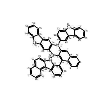 c1ccc2c3c4c(cc2c1)N(c1ccc2oc5ccccc5c2c1)c1cc2c(cc1B4n1c4ccc5ccccc5c4c4cccc-3c41)oc1ccccc12